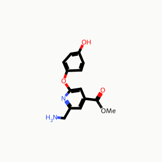 COC(=O)c1cc(CN)nc(Oc2ccc(O)cc2)c1